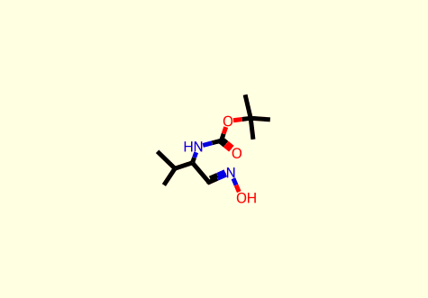 CC(C)C(C=NO)NC(=O)OC(C)(C)C